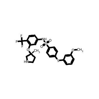 COc1cccc(Sc2ccc(S(=O)(=O)Nc3ccc(C(F)(F)F)c(O[C@]4(C)CCNC4)c3)cc2)c1